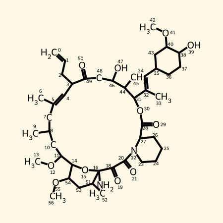 C=CCC1/C=C(\C)CC(C)CC(OC)C2OC(N)(C(=O)C(=O)N3CCCCC3C(=O)OC(C(C)=CC3CCC(O)C(OC)C3)C(C)C(O)CC1=O)C(C)CC2OC